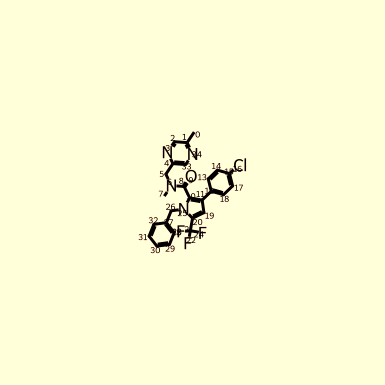 Cc1cnc(CN(C)C(=O)c2c(-c3ccc(Cl)cc3)cc(C(F)(F)F)n2Cc2ccccc2)cn1